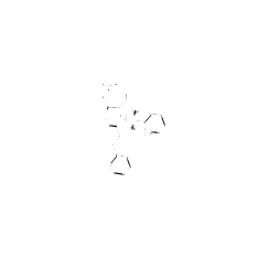 O=C1CNCCC[C@@H]1N(C(=O)[CH]Cc1ccccc1)S(=O)(=O)c1ccccn1